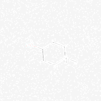 C[SiH]1CCC(O)CC1